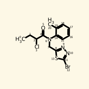 CCC(Cl)C(=O)N(Cc1nnc(Br)s1)c1ccccc1C